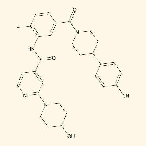 Cc1ccc(C(=O)N2CCC(c3ccc(C#N)cc3)CC2)cc1NC(=O)c1ccnc(N2CCC(O)CC2)c1